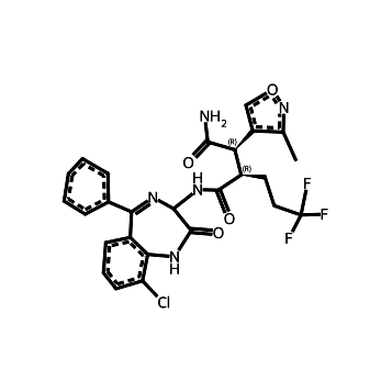 Cc1nocc1[C@H](C(N)=O)[C@@H](CCC(F)(F)F)C(=O)NC1N=C(c2ccccc2)c2cccc(Cl)c2NC1=O